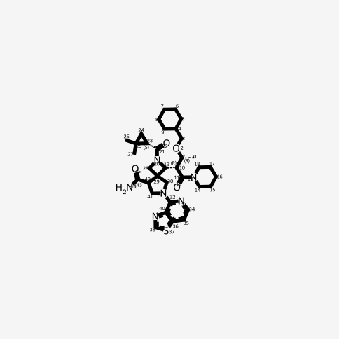 C[C@@H](OCC1CCCCC1)[C@H](C(=O)N1CCCCC1)C1N(C(=O)[C@H]2CC2(C)C)CC12CN(c1nccc3scnc13)CC2C(N)=O